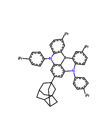 CC(C)c1ccc(N2c3ccc(C(C)C)cc3B3c4cc(C(C)C)ccc4N(c4ccc(C(C)C)cc4)c4cc(C56CC7CC8C(C5)CC8(C7)C6)cc2c43)cc1